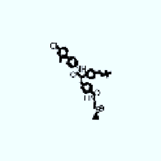 Cc1cc(Cl)ccc1-c1ccc(NC(=O)[C@@H](Cc2ccc(C(=O)NCC[S+]([O-])C3=CC3)cc2)c2ccc(/C=C/C(C)(C)C)cc2)cc1